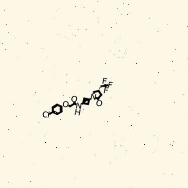 O=C(COc1ccc(Cl)cc1)NC12CC(N3C[C@H](CC(F)(F)F)CC3=O)(C1)C2